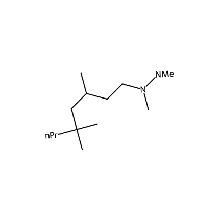 CCCC(C)(C)CC(C)CCN(C)NC